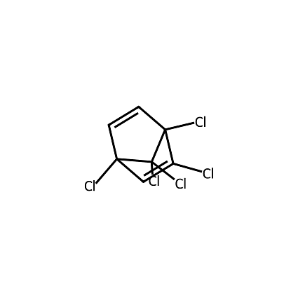 ClC1=CC2(Cl)C=CC1(Cl)C2(Cl)Cl